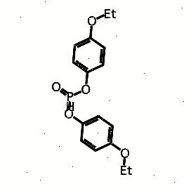 CCOc1ccc(O[PH](=O)Oc2ccc(OCC)cc2)cc1